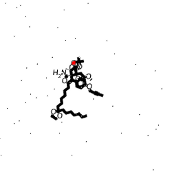 CC#CCOc1ccc(/C(=C\CCCCCCC2(CCCCCCC)OCCO2)[C@@](C(N)=O)([C@H](C)C(=O)O)[C@@](O)(CCOC)C(=O)OC(C)(C)C)cc1